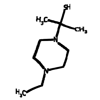 CCN1CCN(C(C)(C)S)CC1